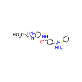 NC(=NCc1ccccc1)c1ccc(C(=O)Nc2ccc3[nH]c(CCC(=O)O)nc3c2)cc1